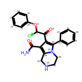 NC(=O)c1c(C(=O)C(Cl)Oc2ccccc2)c(-c2ccccc2)n2c1CNCC2